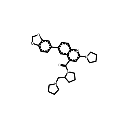 O=C(c1cc(N2CCCC2)nc2ccc(-c3ccc4c(c3)OCO4)cc12)N1CCC[C@H]1CN1CCCC1